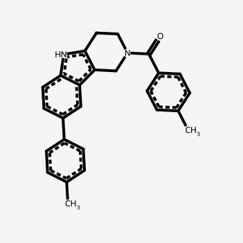 Cc1ccc(C(=O)N2CCc3[nH]c4ccc(-c5ccc(C)cc5)cc4c3C2)cc1